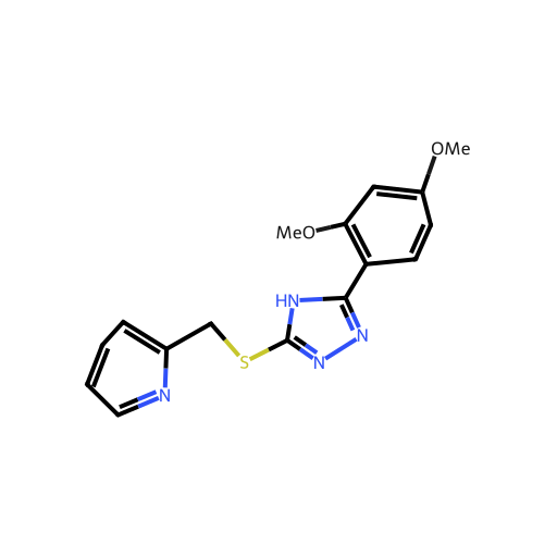 COc1ccc(-c2nnc(SCc3ccccn3)[nH]2)c(OC)c1